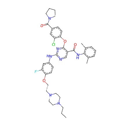 CCCN1CCN(CCOc2ccc(Nc3ncc(C(=O)Nc4c(C)cccc4C)c(Oc4ccc(C(=O)N5CCCC5)cc4Cl)n3)cc2F)CC1